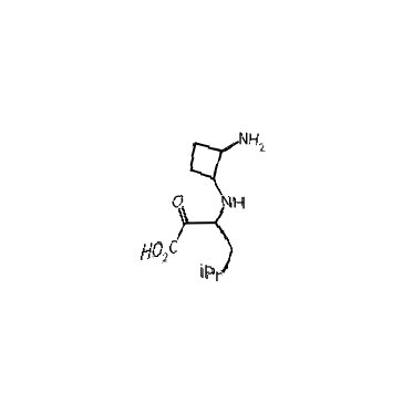 CC(C)CC(NC1CCC1N)C(=O)C(=O)O